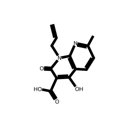 C=CCn1c(=O)c(C(=O)O)c(O)c2ccc(C)nc21